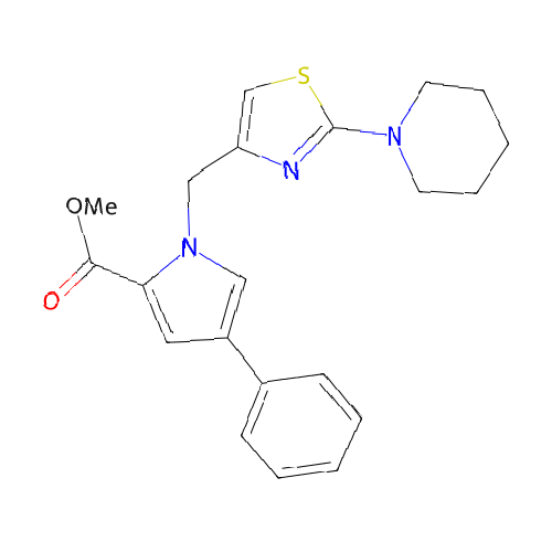 COC(=O)c1cc(-c2ccccc2)cn1Cc1csc(N2CCCCC2)n1